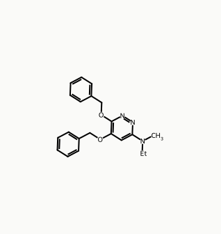 CCN(C)c1cc(OCc2ccccc2)c(OCc2ccccc2)nn1